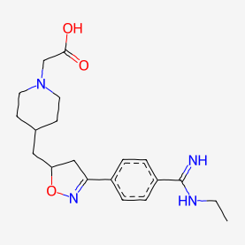 CCNC(=N)c1ccc(C2=NOC(CC3CCN(CC(=O)O)CC3)C2)cc1